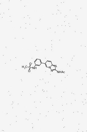 CC(=O)Nc1nc2ccc(-c3cccc(NS(C)(=O)=O)c3)cn2n1